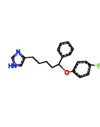 Fc1ccc(OC(CCCCc2c[nH]cn2)c2ccccc2)cc1